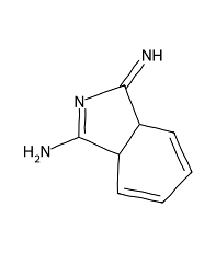 N=C1N=C(N)C2C=CC=CC12